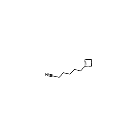 N#CCCCCCC1=CCC1